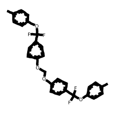 Cc1ccc(OC(F)(F)c2ccc(OCOc3ccc(C(F)(F)Oc4ccc(C)cc4)cc3)cc2)cc1